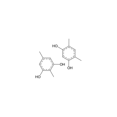 Cc1cc(C)c(O)cc1O.Cc1cc(O)c(C)c(O)c1